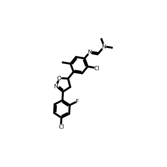 Cc1cc(N=CN(C)C)c(Cl)cc1C1CC(c2ccc(Cl)cc2F)=NO1